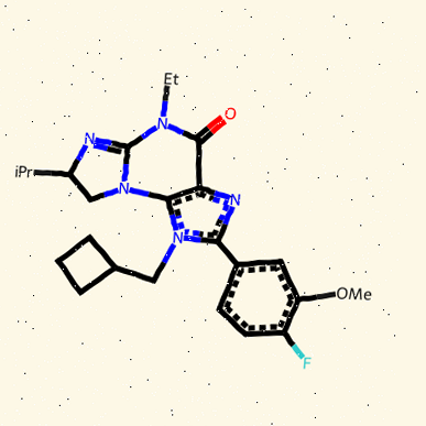 CCN1C(=O)c2nc(-c3ccc(F)c(OC)c3)n(CC3CCC3)c2N2CC(C(C)C)N=C12